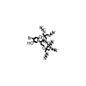 [N-]=[N+]=NCC(CN=[N+]=[N-])(CN=[N+]=[N-])OCCC(C(=O)OC(CN=[N+]=[N-])(CN=[N+]=[N-])CN=[N+]=[N-])n1cc(O)c(Br)cc1=O